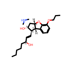 CCCCC[C@H](O)C=C[C@@H]1[C@H]2c3cccc(OCCC)c3O[C@H]2C[C@H]1O.CNC